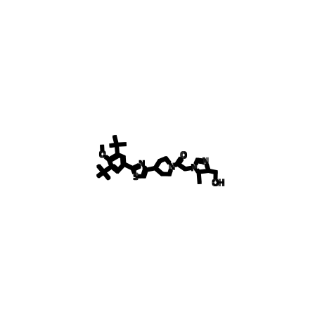 COc1c(C(C)(C)C)cc(-c2nc(C3CCN(C(=O)CN4C=NC(CO)C4C)CC3)cs2)cc1C(C)(C)C